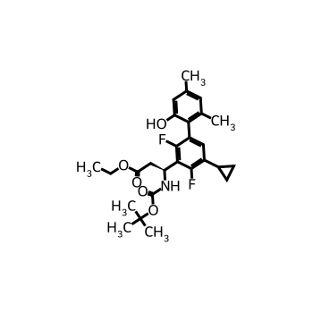 CCOC(=O)C[C@H](NC(=O)OC(C)(C)C)c1c(F)c(-c2c(C)cc(C)cc2O)cc(C2CC2)c1F